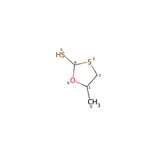 CC1CSC(S)O1